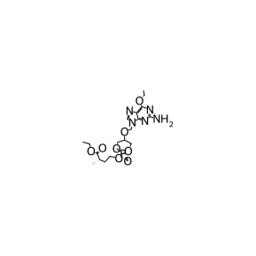 CCOC(=O)[C@@H](C)CCOP1(=O)OCC(OCn2cnc3c(OCC)nc(N)nc32)CO1